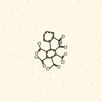 O=C(Cl)c1ccccc1-c1c(C(=O)Cl)c(C(=O)Cl)c(C(=O)Cl)c(C(=O)Cl)c1C(=O)Cl